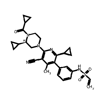 C=CS(=O)(=O)Nc1cccc(-c2c(C3CC3)nc(N3CCN(C(=O)C4CC4)[C@H](C4CC4)C3)c(C#N)c2C)c1